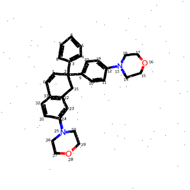 C1=CC(c2ccccc2)(c2ccc(N3CCOCC3)cc2)Cc2cc(N3CCOCC3)ccc21